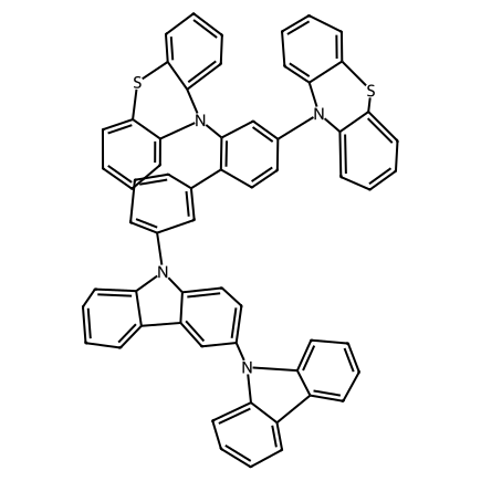 c1cc(-c2ccc(N3c4ccccc4Sc4ccccc43)cc2N2c3ccccc3Sc3ccccc32)cc(-n2c3ccccc3c3cc(-n4c5ccccc5c5ccccc54)ccc32)c1